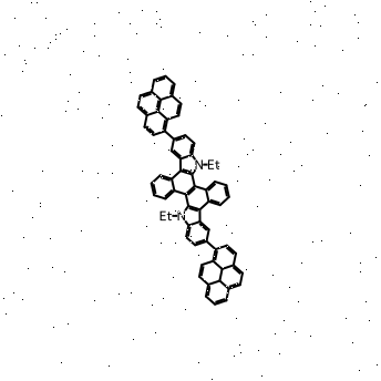 CCn1c2ccc(C3=C4C=CC5=CC=CC6=CC=C(C=C3)C4C56)cc2c2c3ccccc3c3c(c4ccccc4c4c5cc(-c6ccc7ccc8cccc9ccc6c7c89)ccc5n(CC)c43)c21